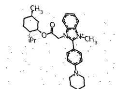 CC(C)[C@@H]1CC[C@@H](C)C[C@H]1OC(=O)Cn1c(-c2ccc(N3CCCCC3)cc2)[n+](C)c2ccccc21